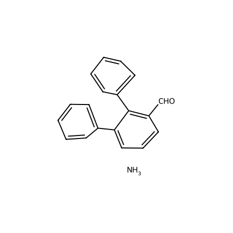 N.O=Cc1cccc(-c2ccccc2)c1-c1ccccc1